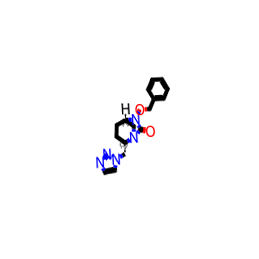 O=C1N2C[C@@H](CC[C@H]2Cn2ccnn2)N1OCc1ccccc1